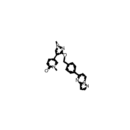 Cn1cc(-c2ccc(=O)n(C)c2)c(OCc2ccc(-c3ccn4nccc4n3)cc2)n1